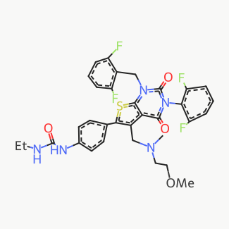 CCNC(=O)Nc1ccc(-c2sc3c(c2CN(C)CCOC)c(=O)n(-c2c(F)cccc2F)c(=O)n3Cc2c(F)cccc2F)cc1